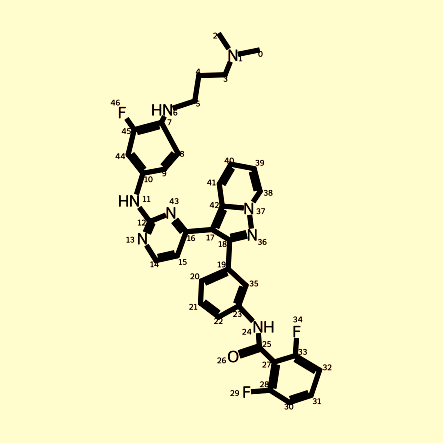 CN(C)CCCNc1ccc(Nc2nccc(-c3c(-c4cccc(NC(=O)c5c(F)cccc5F)c4)nn4ccccc34)n2)cc1F